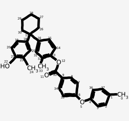 Cc1ccc(Oc2ccc(C(=O)Oc3ccc(C4(c5ccc(O)c(C)c5)CCCCC4)cc3C)cc2)cc1